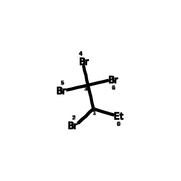 [CH2]CC(Br)C(Br)(Br)Br